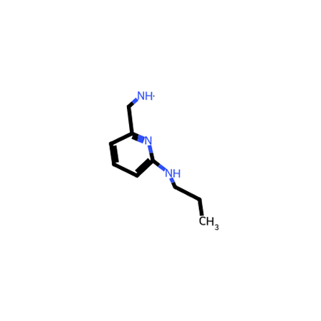 CCCNc1cccc(C[NH])n1